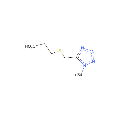 CCCCn1nnnc1CSCCC(=O)O